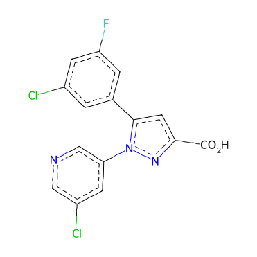 O=C(O)c1cc(-c2cc(F)cc(Cl)c2)n(-c2cncc(Cl)c2)n1